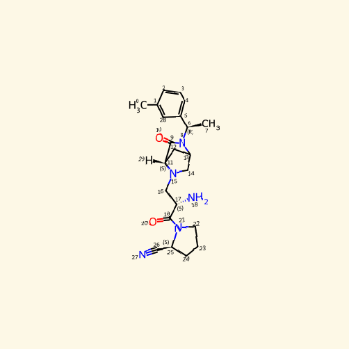 Cc1cccc([C@@H](C)N2C(=O)[C@@H]3CC2CN3C[C@H](N)C(=O)N2CCC[C@H]2C#N)c1